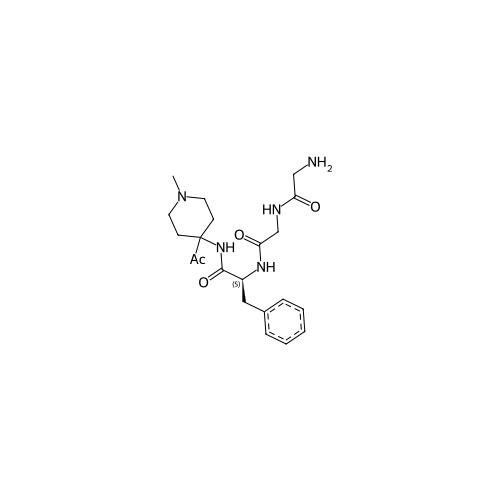 CC(=O)C1(NC(=O)[C@H](Cc2ccccc2)NC(=O)CNC(=O)CN)CCN(C)CC1